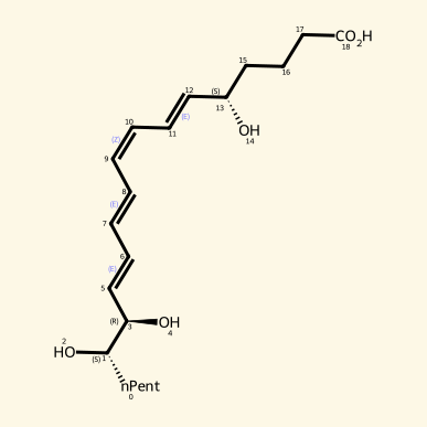 CCCCC[C@H](O)[C@H](O)/C=C/C=C/C=C\C=C\[C@@H](O)CCCC(=O)O